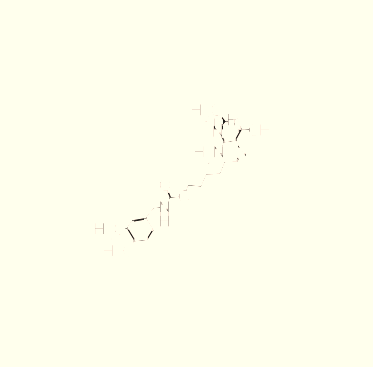 C=C(F)/N=C(/N)C(/N=C\CCCCCOC(=O)NCc1ccc(C)c(C)c1)=C(C)C